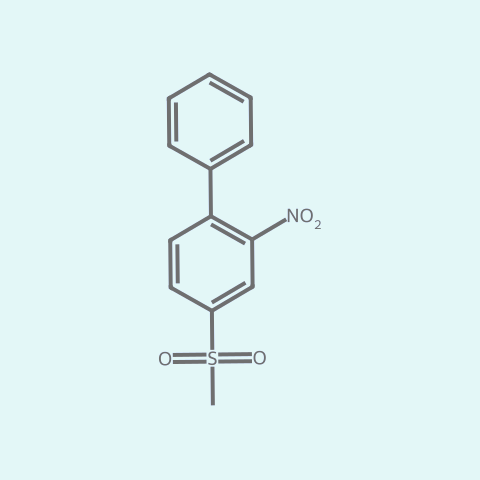 CS(=O)(=O)c1ccc(-c2ccccc2)c([N+](=O)[O-])c1